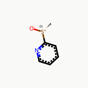 C[S@@+]([O-])c1ccccn1